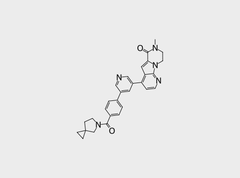 CN1CCn2c(cc3c(-c4cncc(-c5ccc(C(=O)N6CCC7(CC7)C6)cc5)c4)ccnc32)C1=O